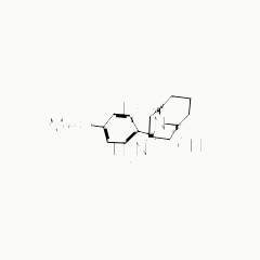 COc1ccc(CN2[C@@]3(C)CCC[C@]2(C)C[C@@H](N)C3)cc1